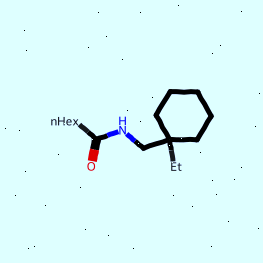 CCCCCCC(=O)NCC1(CC)CCCCC1